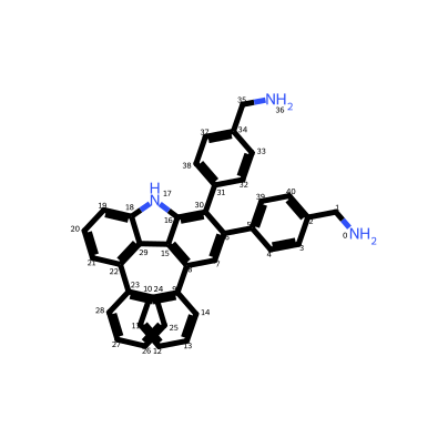 NCc1ccc(-c2cc(-c3ccccc3)c3c([nH]c4cccc(-c5ccccc5)c43)c2-c2ccc(CN)cc2)cc1